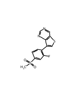 CS(=O)(=O)c1ccc(-c2csc3[c]ncnc23)c(F)c1